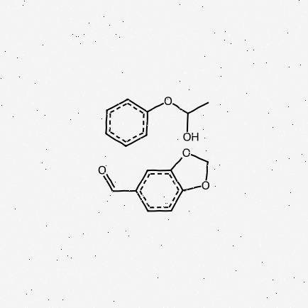 CC(O)Oc1ccccc1.O=Cc1ccc2c(c1)OCO2